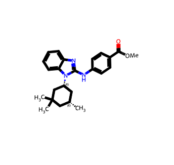 COC(=O)c1ccc(Nc2nc3ccccc3n2[C@@H]2C[C@H](C)CC(C)(C)C2)cc1